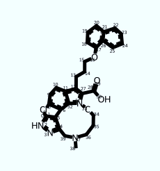 Cc1[nH]nc2c1-c1c(Cl)ccc3c(CCCOc4cccc5ccccc45)c(C(=O)O)n(c13)CCCCN(C)C2